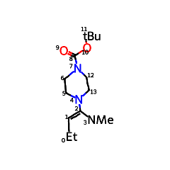 CC/C=C(\NC)N1CCN(C(=O)OC(C)(C)C)CC1